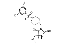 CC(C)CC1(C)NC(=N)N(CC2CCN(S(=O)(=O)c3cc(Cl)cc(Cl)c3)CC2)C1=O